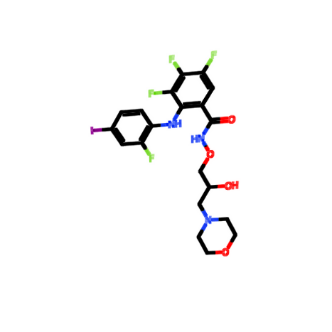 O=C(NOCC(O)CN1CCOCC1)c1cc(F)c(F)c(F)c1Nc1ccc(I)cc1F